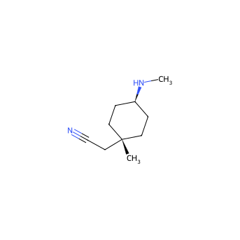 CN[C@H]1CC[C@](C)(CC#N)CC1